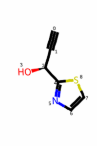 C#C[C@H](O)c1nccs1